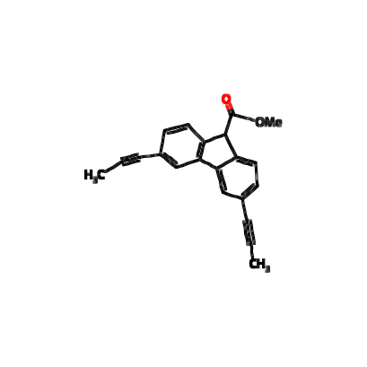 CC#Cc1ccc2c(c1)-c1cc(C#CC)ccc1C2C(=O)OC